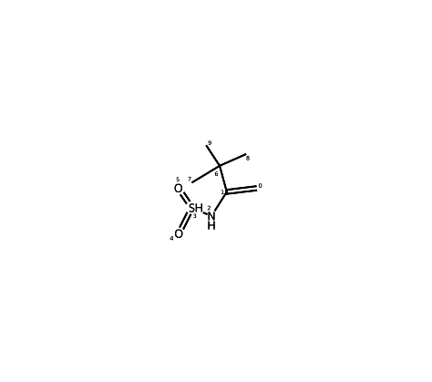 C=C(N[SH](=O)=O)C(C)(C)C